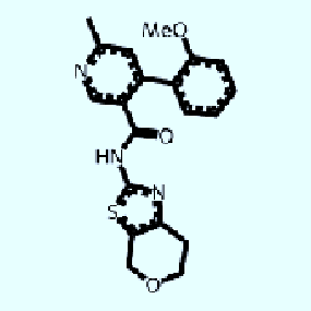 COc1ccccc1-c1cc(C)ncc1C(=O)Nc1nc2c(s1)COCC2